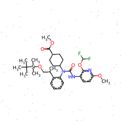 COC(=O)C1CCC(N(C(=O)Nc2ccc(OC)nc2OC(F)F)c2ccccc2C(C)CO[Si](C)(C)C(C)(C)C)CC1